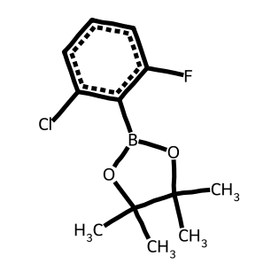 CC1(C)OB(c2c(F)cccc2Cl)OC1(C)C